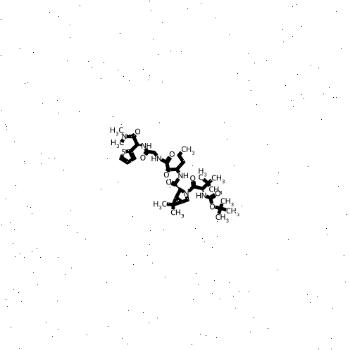 CCCC(NC(=O)[C@@H]1C2C(CN1C(=O)[C@@H](NC(=O)OC(C)(C)C)C(C)(C)C)C2(C)C)C(=O)C(=O)NCC(=O)N[C@H](C(=O)N(C)C)c1cccs1